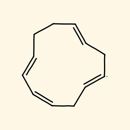 [C]1=C/C/C=C\C=C\CC/C=C/C/1